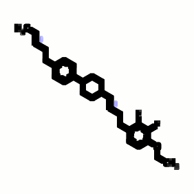 C/C=C/CCc1ccc(C2CCC(/C=C/CCc3ccc(OCC)c(F)c3F)CC2)cc1